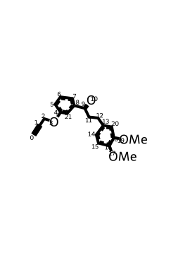 C#CCOc1cccc(C(=O)CCc2ccc(OC)c(OC)c2)c1